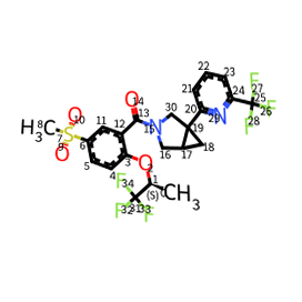 C[C@H](Oc1ccc(S(C)(=O)=O)cc1C(=O)N1CC2CC2(c2cccc(C(F)(F)F)n2)C1)C(F)(F)F